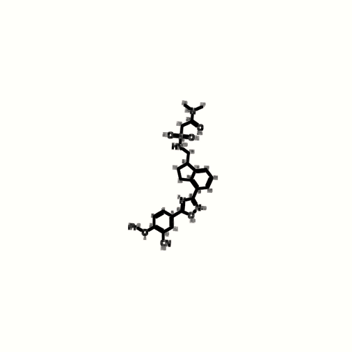 CC(C)Oc1ccc(-c2nc(-c3cccc4c3CCC4CNS(=O)(=O)CC(=O)N(C)C)no2)cc1C#N